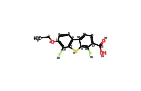 CCOc1ccc2c(sc3c(F)c(C(=O)O)ccc32)c1F